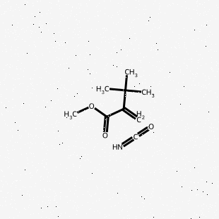 C=C(C(=O)OC)C(C)(C)C.N=C=O